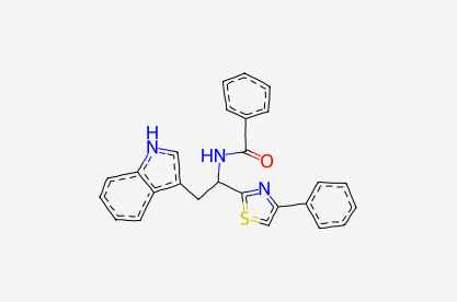 O=C(NC(Cc1c[nH]c2ccccc12)c1nc(-c2ccccc2)cs1)c1ccccc1